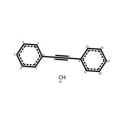 C(#Cc1ccccc1)c1ccccc1.[CH]